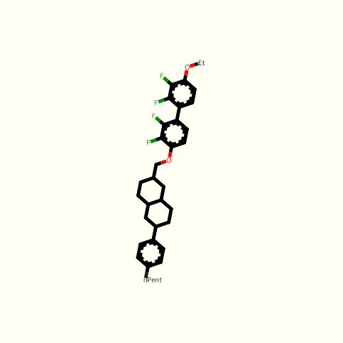 CCCCCc1ccc(C2CCC3CC(COc4ccc(-c5ccc(OCC)c(F)c5F)c(F)c4F)CCC3C2)cc1